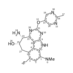 CNc1cc(F)c2c3c1[nH]c1nc(Oc4cnc(C)nc4)nc(c13)[C@@H](N)[C@@H](O)C2